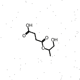 CC(CO)OC(=O)CCC(=O)O